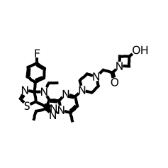 CCc1nn2c(C)cc(N3CCN(CC(=O)N4CC(O)C4)CC3)nc2c1N(CC)C1(c2ccc(F)cc2)N=CSC1C#N